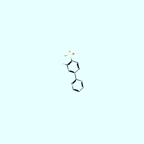 O=S(=O)(Cl)c1ccc(-c2ccccc2)cc1S